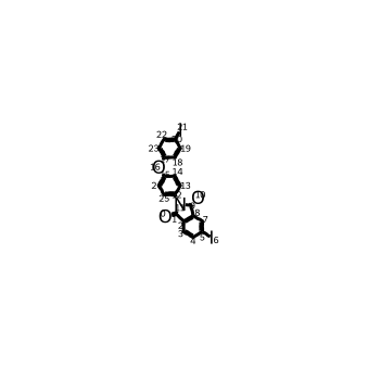 O=C1c2ccc(I)cc2C(=O)N1c1ccc(Oc2ccc(I)cc2)cc1